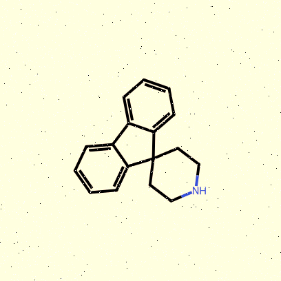 c1ccc2c(c1)-c1ccccc1C21CCNCC1